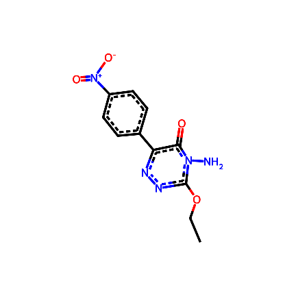 CCOc1nnc(-c2ccc([N+](=O)[O-])cc2)c(=O)n1N